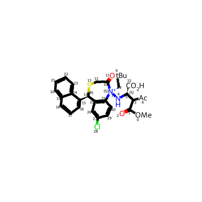 COC(=O)C(C(C)=O)[C@H](N[N@+]1(CC(C)(C)C)C(=O)CS[C@H](c2cccc3ccccc23)c2cc(Cl)ccc21)C(=O)O